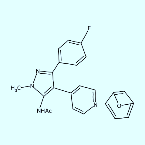 CC(=O)Nc1c(-c2ccncc2)c(-c2ccc(F)cc2)nn1C.c1cc2cc(c1)O2